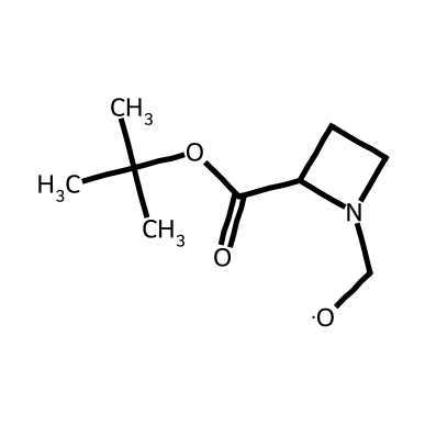 CC(C)(C)OC(=O)C1CCN1C[O]